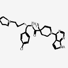 NC1(C(=O)N[C@@H](CCCN2CCCC2)c2ccc(Cl)cc2)CCN(c2ncnc3[nH]ccc23)CC1